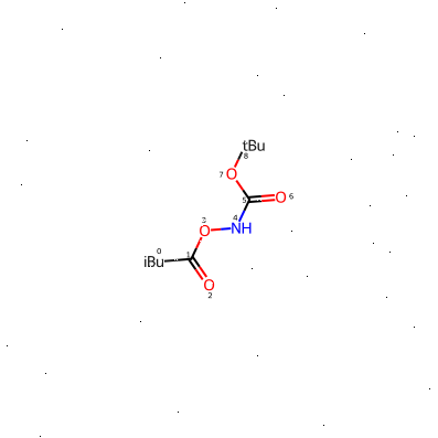 CCC(C)C(=O)ONC(=O)OC(C)(C)C